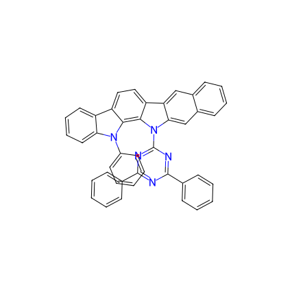 c1ccc(-c2nc(-c3ccccc3)nc(-n3c4cc5ccccc5cc4c4ccc5c6ccccc6n(-c6ccccc6)c5c43)n2)cc1